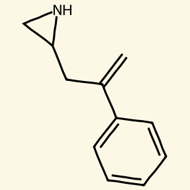 C=C(CC1CN1)c1ccccc1